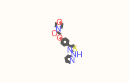 O=C(COc1ccc(-c2csc(Nc3ccccn3)n2)cc1)N1CCOCC1